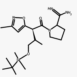 Cc1cc([C@@H](C(=O)N2CCCC2C(=N)N)C(C)CO[Si](C)(C)C(C)(C)C)on1